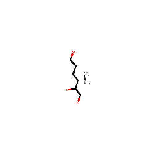 CC(=O)O.OCCCCC(O)CO